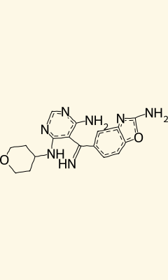 N=C(c1ccc2oc(N)nc2c1)c1c(N)ncnc1NC1CCOCC1